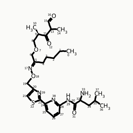 CCCCC/C(COC[C@@H](C)C(=O)C(C)C=O)=N\OCc1csc(-c2cccc(NC(=O)C(N)CC(C)C)n2)n1